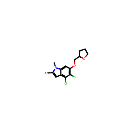 CC(=O)c1cc2c(Cl)c(Cl)c(OCC3CCCO3)cc2n1C